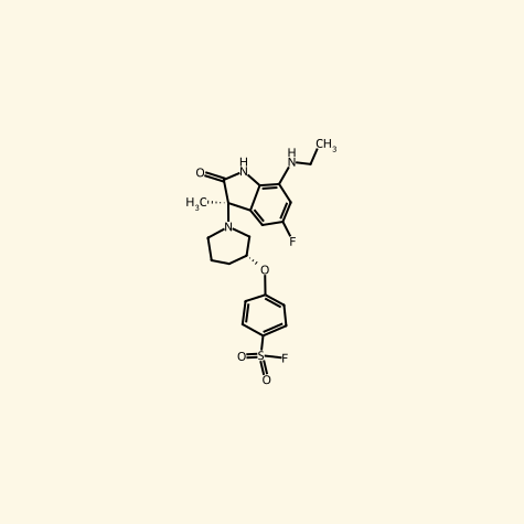 CCNc1cc(F)cc2c1NC(=O)[C@]2(C)N1CCC[C@@H](Oc2ccc(S(=O)(=O)F)cc2)C1